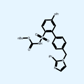 CCCCOC(=O)NS(=O)(=O)c1ccc(CCC)cc1-c1ccc(Cn2ccnc2C(C)C)cc1